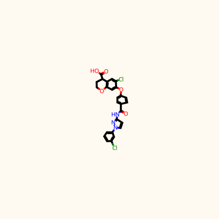 O=C(Nc1ccn(-c2cccc(Cl)c2)n1)c1ccc(Oc2cc3c(cc2Cl)C(C(=O)O)CCO3)cc1